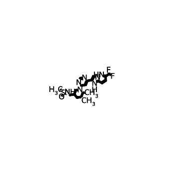 CC1CC(CN[S+](C)[O-])CN(c2cc(-c3cnc(/C=C\C(=N)C(F)F)[nH]3)ncn2)C1C